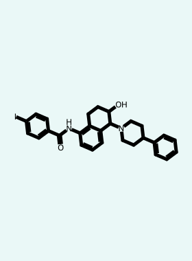 O=C(Nc1cccc2c1CCC(O)C2N1CCC(c2ccccc2)CC1)c1ccc(I)cc1